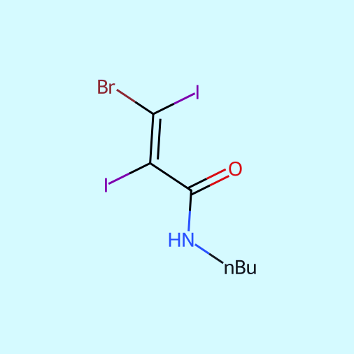 CCCCNC(=O)C(I)=C(Br)I